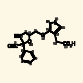 O=CC1(c2ccccc2)NCC(COc2cscc2CC(=O)O)O1